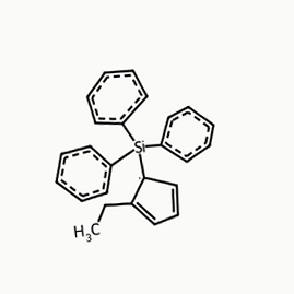 CCC1=CC=C[C]1[Si](c1ccccc1)(c1ccccc1)c1ccccc1